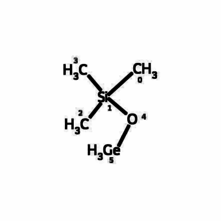 C[Si](C)(C)[O][GeH3]